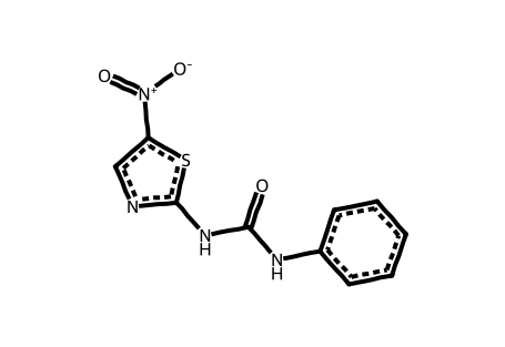 O=C(Nc1ccccc1)Nc1ncc([N+](=O)[O-])s1